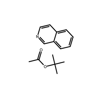 CC(=O)OC(C)(C)C.c1ccc2cnccc2c1